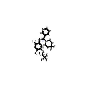 Cc1cc(F)c(/N=C(/c2cccnc2)N2CCC(F)(F)CC2)cc1SCC(F)(F)F